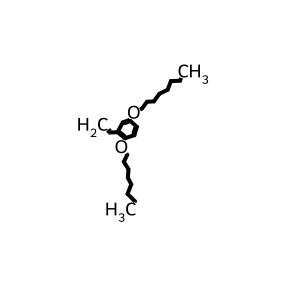 C=Cc1cc(OCCCCCCCC)ccc1OCCCCCCCC